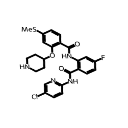 CSc1ccc(C(=O)Nc2cc(F)ccc2C(=O)Nc2ccc(Cl)cn2)c(OC2CCNCC2)c1